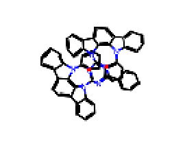 C1=CC(n2c3ccccc3c3ccc4c5ccccc5n(-c5nc(-c6ccccc6)nc(-n6c7ccccc7c7ccc8c9ccccc9n(-c9ccccc9)c8c76)n5)c4c32)=CCC1